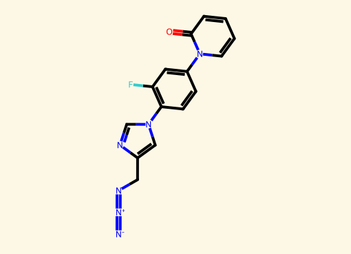 [N-]=[N+]=NCc1cn(-c2ccc(-n3ccccc3=O)cc2F)cn1